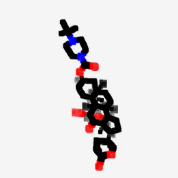 CC(C)(C)N1CCN(C(=O)O[C@H]2CC[C@@]3(C)[C@H](CC[C@@H]4[C@@H]3[C@@H](O)C(=O)[C@]3(C)[C@@H](c5ccc(=O)oc5)CC[C@]43O)C2)CC1